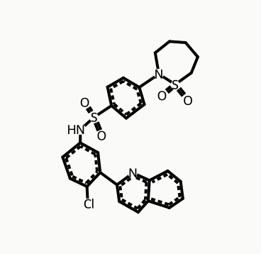 O=S(=O)(Nc1ccc(Cl)c(-c2ccc3ccccc3n2)c1)c1ccc(N2CCCCCS2(=O)=O)cc1